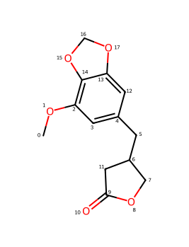 COc1cc(CC2COC(=O)C2)cc2c1OCO2